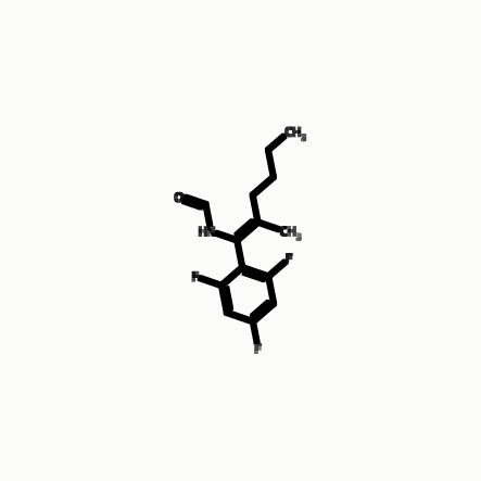 CCCC/C(C)=C(\NC=O)c1c(F)cc(F)cc1F